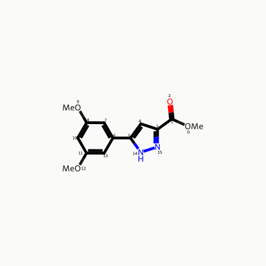 COC(=O)c1cc(-c2cc(OC)cc(OC)c2)[nH]n1